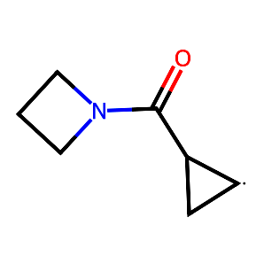 O=C(C1[CH]C1)N1CCC1